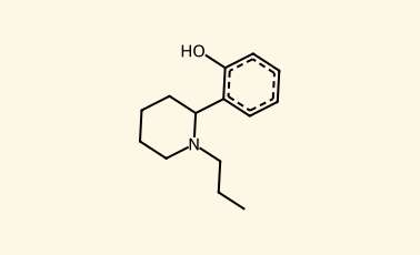 CCCN1CCCCC1c1ccccc1O